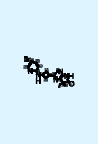 CC1(C)C(=O)Nc2ncc(C3CC(Nc4ccc(Br)cn4)C3)nc21